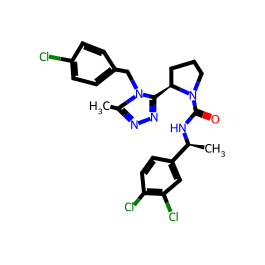 Cc1nnc([C@H]2CCCN2C(=O)N[C@@H](C)c2ccc(Cl)c(Cl)c2)n1Cc1ccc(Cl)cc1